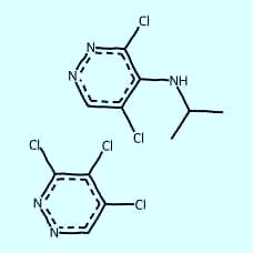 CC(C)Nc1c(Cl)cnnc1Cl.Clc1cnnc(Cl)c1Cl